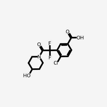 O=C(O)c1ccc(Cl)c(C(F)(F)C(=O)N2CCC(O)CC2)c1